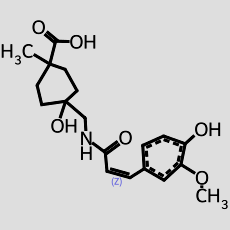 COc1cc(/C=C\C(=O)NCC2(O)CCC(C)(C(=O)O)CC2)ccc1O